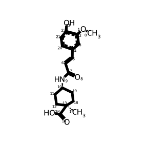 COc1cc(C=CC(=O)N[C@H]2CC[C@](C)(C(=O)O)CC2)ccc1O